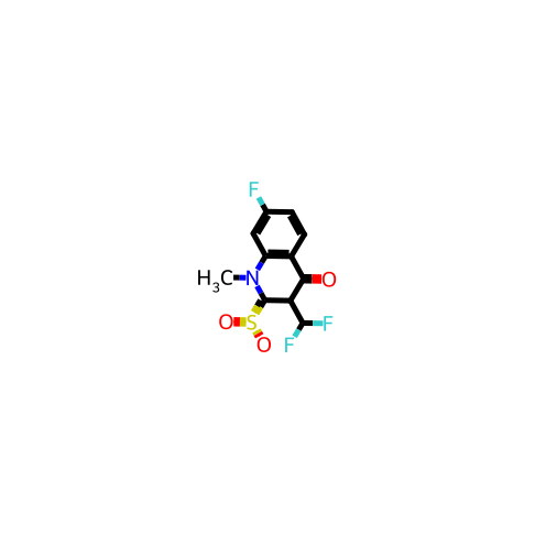 CN1C(=S(=O)=O)C(C(F)F)C(=O)c2ccc(F)cc21